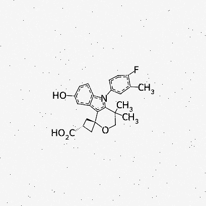 Cc1cc(-n2c3c(c4cc(O)ccc42)[C@]2(C[C@@H](C(=O)O)C2)OCC3(C)C)ccc1F